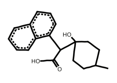 CC1CCC(O)(C(C(=O)O)c2cccc3ccccc23)CC1